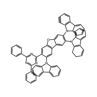 c1ccc2c3ccccc3n(-c3cc4oc5cc(-c6nc(-c7ccccc7)nc(-c7ccccc7)n6)c(-n6c7ccccc7c7ccccc76)cc5c4cc3-n3c4c(c5ccccc53)C=CCC4)c2c#1